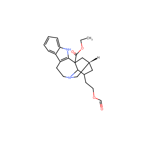 CCOC(=O)C12C[C@@H]3CC(CCOC=O)C1N(CCc1c2[nH]c2ccccc12)C3